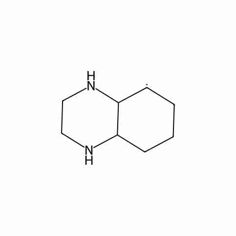 [CH]1CCCC2NCCNC12